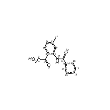 O=C(O)C(=O)c1ccc(I)cc1NC(=O)c1ccccc1